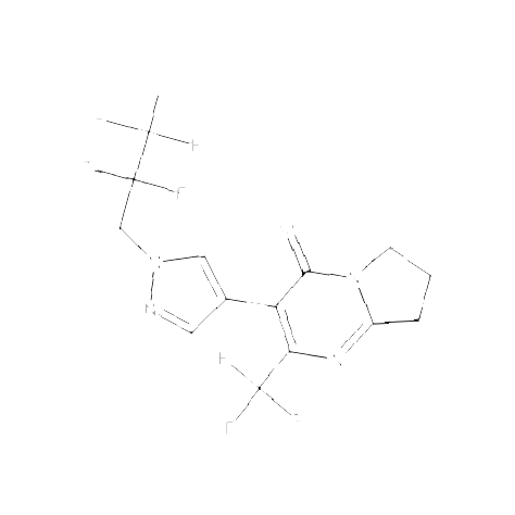 O=c1c(-c2cnn(CC(F)(F)C(F)(F)F)c2)c(C(F)(F)F)nc2n1CCC2